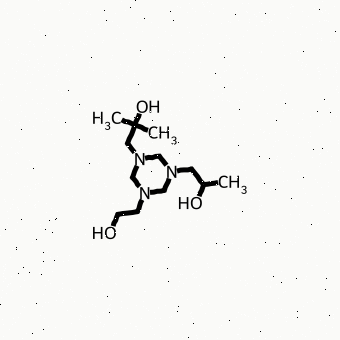 CC(O)CN1CN(CCO)CN(CC(C)(C)O)C1